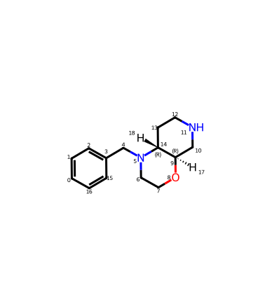 c1ccc(CN2CCO[C@@H]3CNCC[C@H]32)cc1